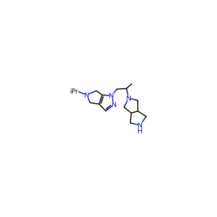 CC(C)N1Cc2cnn(CC(C)N3CC4CNCC4C3)c2C1